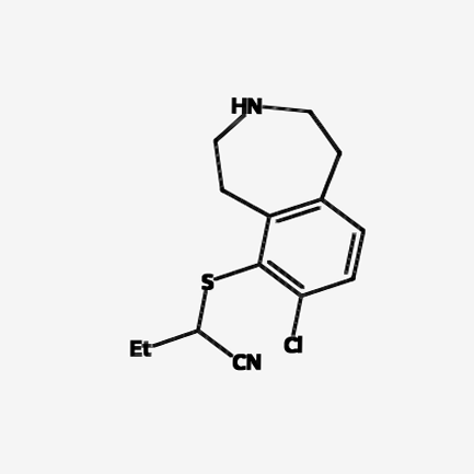 CCC(C#N)Sc1c(Cl)ccc2c1CCNCC2